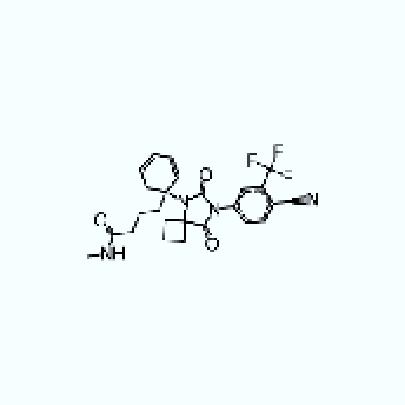 CNC(=O)CCCC1(N2C(=O)N(c3ccc(C#N)c(C(F)(F)F)c3)C(=O)C23CCC3)C=CC=CC1